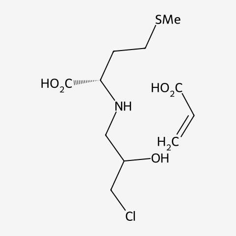 C=CC(=O)O.CSCC[C@H](NCC(O)CCl)C(=O)O